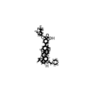 C=C(C)[C@@H]1CC[C@]2(NCCN3CCSCC3)CC[C@]3(C)[C@H](CC[C@@H]4[C@@H]5[C@@H](CC[C@]43C)C(C)(C)C(C3=CCC(COc4cc(C(F)(F)F)n(C)n4)(C(=O)O)CC3)=C[C@@H]5C)[C@@H]12